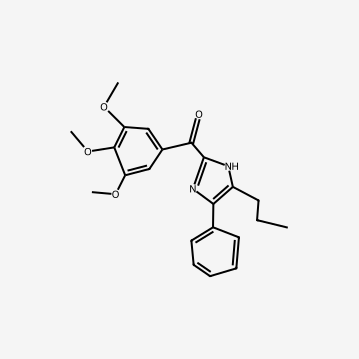 CCCc1[nH]c(C(=O)c2cc(OC)c(OC)c(OC)c2)nc1-c1ccccc1